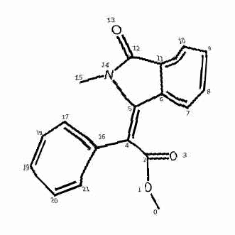 COC(=O)/C(=C1\c2ccccc2C(=O)N1C)c1ccccc1